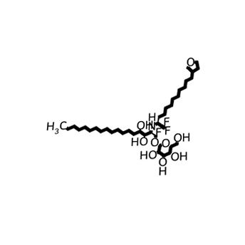 CCCCCCCCCCCCCC[C@@H](O)[C@@H](O)[C@H](COC1OC(CO)C(O)C(O)C1O)N[C@@H](CCCCCCCCCCC1CCOC1)C(F)(F)F